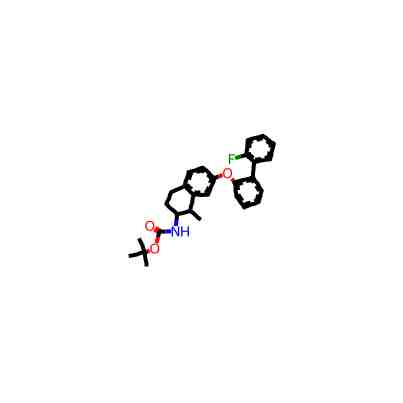 CC1c2cc(Oc3ccccc3-c3ccccc3F)ccc2CCC1NC(=O)OC(C)(C)C